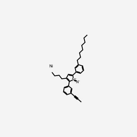 CC#Cc1cccc(C2=C(CCCC)C=C(c3cccc(CCCCCCCC)c3)[N+]2=[N-])c1.[Ni]